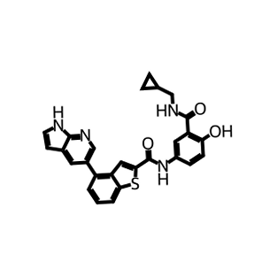 O=C(Nc1ccc(O)c(C(=O)NCC2CC2)c1)c1cc2c(-c3cnc4[nH]ccc4c3)cccc2s1